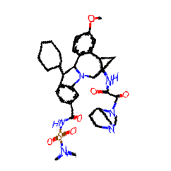 COc1ccc2c(c1)C1CC1(NC(=O)C(=O)N1CCN3CCC1CC3)CN1c3cc(C(=O)NS(=O)(=O)N(C)C)ccc3C(C3CCCCC3)C21